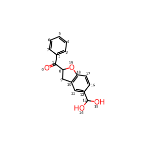 O=C(c1ccccc1)C1Cc2cc(C(O)O)ccc2O1